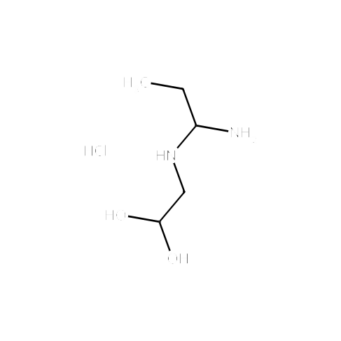 CCC(N)NCC(O)O.Cl